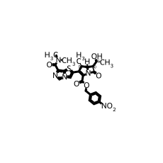 C[C@@H](O)[C@H]1C(=O)N2C(C(=O)OCc3ccc([N+](=O)[O-])cc3)=C(c3cn4cnc(C(=O)N(C)C)c4s3)[C@H](C)[C@H]12